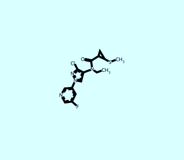 CCN(C(=O)C1CC1SC)c1cn(-c2cncc(F)c2)nc1Cl